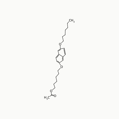 CCCCCCCOc1ccc2cc(OCCCCCCOC(C)=O)ccc2c1